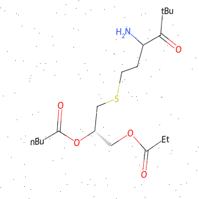 CCCCC(=O)O[C@@H](COC(=O)CC)CSCCC(N)C(=O)C(C)(C)C